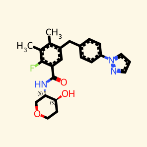 Cc1c(Cc2ccc(-n3cccn3)cc2)cc(C(=O)N[C@H]2COCC[C@@H]2O)c(F)c1C